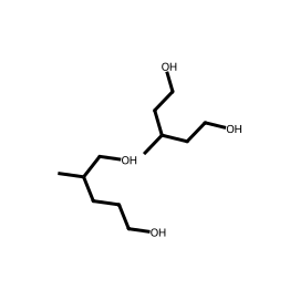 CC(CCO)CCO.CC(CO)CCCO